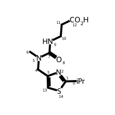 CC(C)c1nc(CN(C)C(=O)NCCC(=O)O)cs1